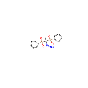 CC(N=N)(S(=O)(=O)c1ccccc1)S(=O)(=O)c1ccccc1